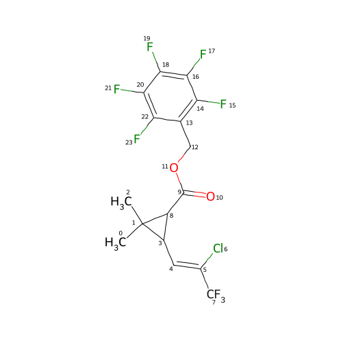 CC1(C)C(C=C(Cl)C(F)(F)F)C1C(=O)OCc1c(F)c(F)c(F)c(F)c1F